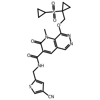 Cn1c(=O)c(C(=O)NCc2cc(C#N)cs2)cc2cnnc(OCC3(S(=O)(=O)C4CC4)CC3)c21